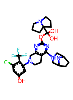 Oc1cc(Cl)c(C(F)(F)F)c(N2CCc3c(nc(OC(O)(O)C45CCCN4CCC5)nc3N3CC4CCC(C3)N4)C2)c1